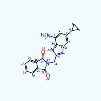 Nc1cc(C2CC2)cn2cc(CN3C(=O)c4ccccc4C3=O)nc12